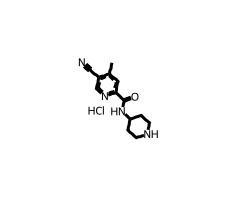 Cc1cc(C(=O)NC2CCNCC2)ncc1C#N.Cl